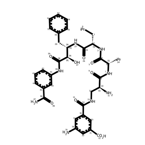 CC(C)C[C@H](NC(=O)[C@@H](NC(=O)[C@@H](N)CNC(=O)c1cc(N)cc(C(=O)O)c1)C(C)C)C(=O)N[C@@H](Cc1ccccc1)[C@@H](O)C(=O)Nc1cccc(C(N)=O)c1